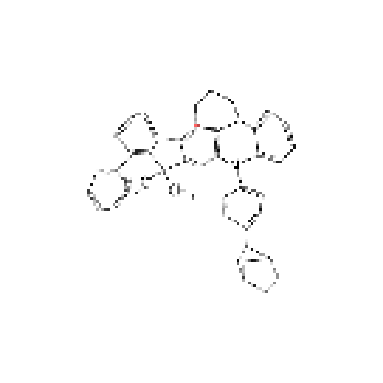 CC1(C)c2cc(N(c3ccc(C4CC5CCC4C5)cc3)c3ccccc3C3CCCCC3)ccc2-c2cccc(-c3ccccc3)c21